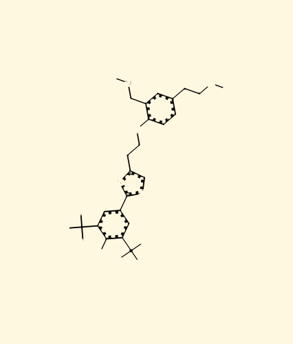 CNCc1cc(CCOC)ccc1OCCc1coc(-c2cc(C(C)(C)C)c(O)c(C(C)(C)C)c2)n1